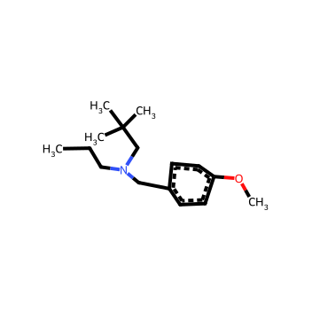 CCCN(Cc1ccc(OC)cc1)CC(C)(C)C